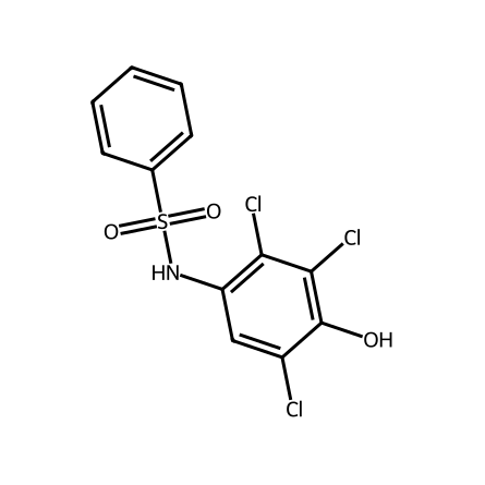 O=S(=O)(Nc1cc(Cl)c(O)c(Cl)c1Cl)c1ccccc1